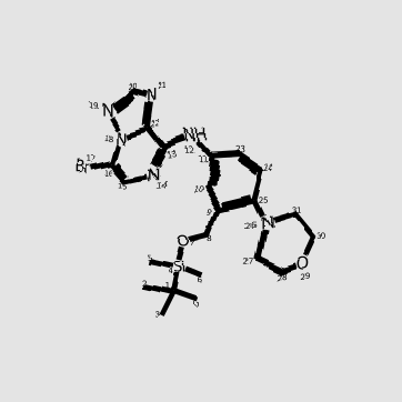 CC(C)(C)[Si](C)(C)OCc1cc(Nc2ncc(Br)n3ncnc23)ccc1N1CCOCC1